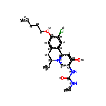 CCCCNC(=O)Nc1cn2c(cc1=O)-c1cc(Cl)c(OCCCOC)cc1CC2CCCC